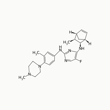 Cc1cc(Nc2ncc(F)c(N[C@H]3[C@@H](C)[C@@H]4C=C[C@H]3C4)n2)ccc1N1CCN(C)CC1